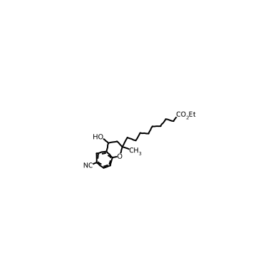 CCOC(=O)CCCCCCCCC1(C)CC(O)c2cc(C#N)ccc2O1